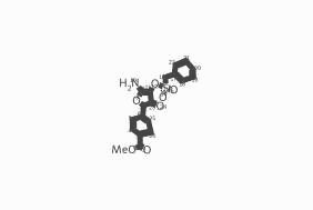 COC(=O)c1ccc(C2OC(N)=C(OS(=O)(=O)Cc3ccccc3)C2=O)cc1